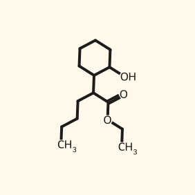 CCCCC(C(=O)OCC)C1CCCCC1O